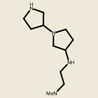 CNCCNC1CCN(C2CCNC2)C1